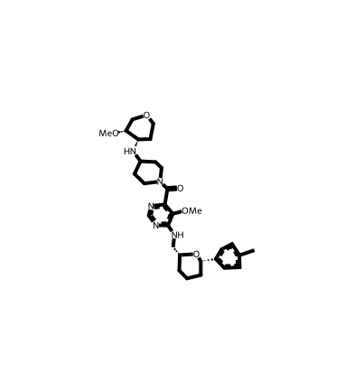 COc1c(NC[C@H]2CCC[C@@H](c3ccc(C)cc3)O2)ncnc1C(=O)N1CCC(N[C@H]2CCOC[C@H]2OC)CC1